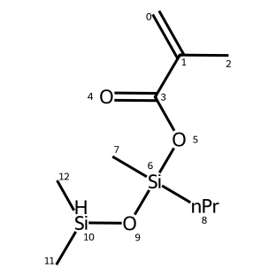 C=C(C)C(=O)O[Si](C)(CCC)O[SiH](C)C